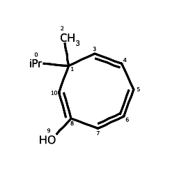 CC(C)C1(C)/C=C\C=C=C/C(O)=C\1